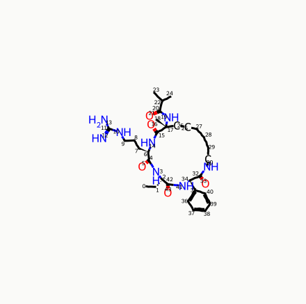 CC[C@@H]1NC(=O)[C@@H](CCCNC(=N)N)NC(=O)[C@](C)(NC(=O)C(C)C)CCCCCCNC(=O)[C@@H](c2ccccc2)NC1=O